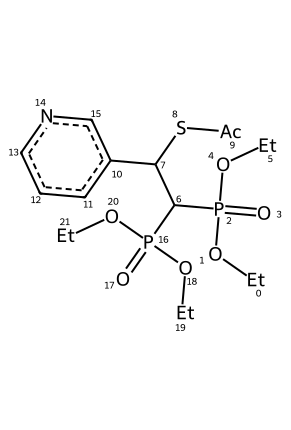 CCOP(=O)(OCC)C(C(SC(C)=O)c1cccnc1)P(=O)(OCC)OCC